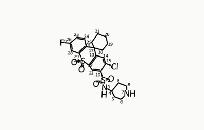 O=S(=O)(NC1CCNCC1)c1cc2c(cc1Cl)C1(CCCCC1)c1ccc(F)cc1S2(=O)=O